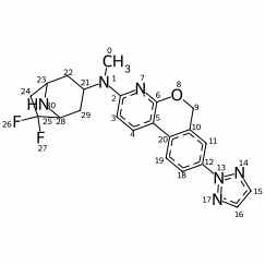 CN(c1ccc2c(n1)OCc1cc(-n3nccn3)ccc1-2)C1CC2CC(F)(F)C(C1)N2